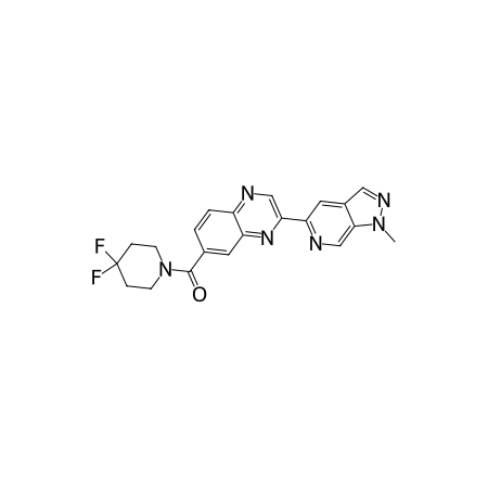 Cn1ncc2cc(-c3cnc4ccc(C(=O)N5CCC(F)(F)CC5)cc4n3)ncc21